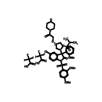 COc1ccc(S(=O)(=O)N2C(=O)C(c3ccccc3OC)(N3C[C@H](OCC(=O)N4CCNCC4)C[C@H]3C(=O)N(C)C)c3cc(Cl)ccc32)c(OC)c1.O=C(O)C(F)(F)F.O=C(O)C(F)(F)F